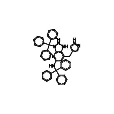 c1ccc(C(Nc2cc(Cc3cn[nH]c3)c3c(n2)N(C(c2ccccc2)(c2ccccc2)c2ccccc2)NN3)(c2ccccc2)c2ccccc2)cc1